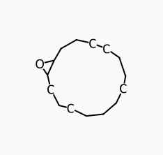 C1CCCCCCC2OC2CCCCCC1